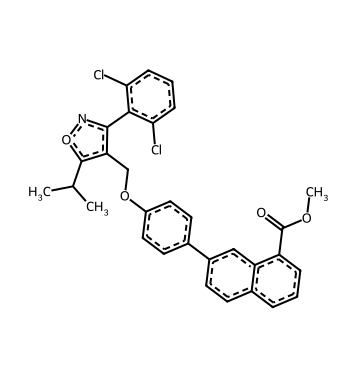 COC(=O)c1cccc2ccc(-c3ccc(OCc4c(-c5c(Cl)cccc5Cl)noc4C(C)C)cc3)cc12